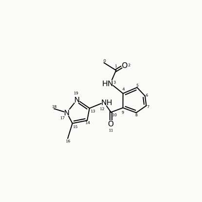 CC(=O)Nc1ccccc1C(=O)Nc1cc(C)n(C)n1